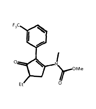 CCC1CC(N(C)C(=O)OC)=C(c2cccc(C(F)(F)F)c2)C1=O